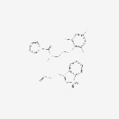 C=CCOC1=NS(=O)(=O)c2ccccc21.CCCN(CCOc1c(Cl)cc(Cl)cc1Cl)C(=O)n1ccnc1